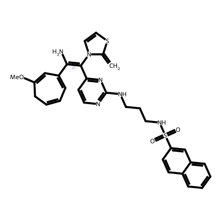 C=C1SC=CN1/C(=C(\N)C1=CC=CCC(OC)=C1)c1ccnc(NCCCNS(=O)(=O)c2ccc3ccccc3c2)n1